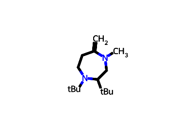 C=C1CCN(C(C)(C)C)C(C(C)(C)C)CN1C